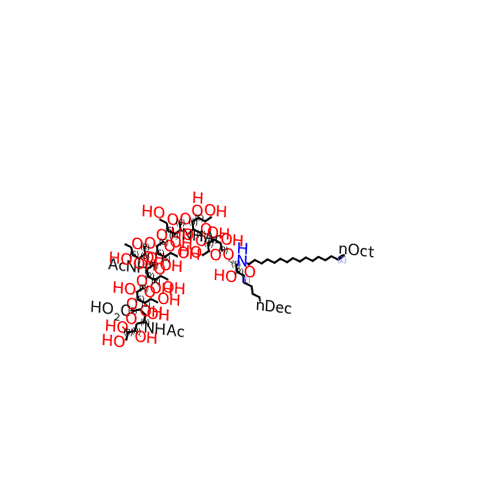 CCCCCCCC/C=C\CCCCCCCCCCCCCC(=O)N[C@@H](CO[C@@H]1OC(CO)[C@@H](O[C@@H]2OC(CO)[C@H](O)[C@H](O[C@@H]3OC(CO)[C@@H](O[C@@H]4OC(CO)[C@H](O)[C@H](O[C@H]5OC(CO)[C@H](O)[C@H](O[C@@H]6OC(CO)[C@H](O)[C@H](O[C@]7(C(=O)O)CC(O)[C@@H](NC(C)=O)C([C@H](O)[C@H](O)CO)O7)C6O)C5NC(C)=O)C4O[C@H]4OC(C)[C@@H](O)C(O)[C@@H]4O)[C@H](O)C3NC(C)=O)C2O)[C@H](O)C1O)[C@H](O)/C=C/CCCCCCCCCCCCC